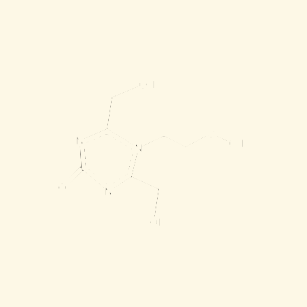 COCCn1c(CO)nc(=O)nc1CO